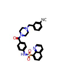 [C-]#[N+]c1cccc(CN2CCN(C(=O)c3ccc(NS(=O)(=O)c4cccc5cccnc45)cc3)CC2)c1